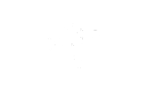 Cn1c(-c2ccccc2)nc(-c2ccccc2)c1CN(Cc1ccc2c(c1)OCCO2)Cc1ccc2c(c1)OCCO2